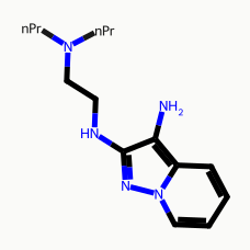 CCCN(CCC)CCNc1nn2ccccc2c1N